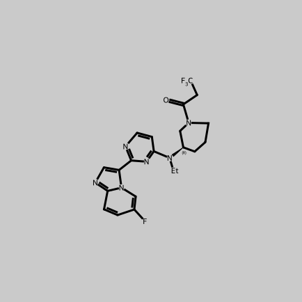 CCN(c1ccnc(-c2cnc3ccc(F)cn23)n1)[C@@H]1CCCN(C(=O)CC(F)(F)F)C1